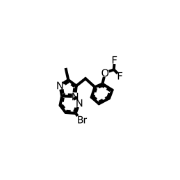 Cc1nc2ccc(Br)nn2c1Cc1ccccc1OC(F)F